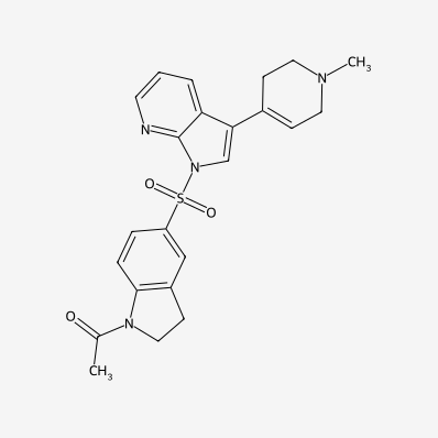 CC(=O)N1CCc2cc(S(=O)(=O)n3cc(C4=CCN(C)CC4)c4cccnc43)ccc21